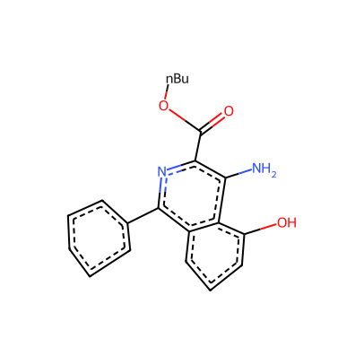 CCCCOC(=O)c1nc(-c2ccccc2)c2cccc(O)c2c1N